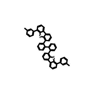 Cc1cccc(-c2cccc3c2sc2c(-c4ccccc4-c4ccccc4-c4cccc5c4sc4c(-c6cccc(C)c6)cccc45)cccc23)c1